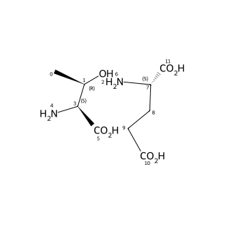 C[C@@H](O)[C@H](N)C(=O)O.N[C@@H](CCC(=O)O)C(=O)O